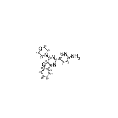 Nc1ccc(-c2nc(N3CCOCC3)c3oc4ccccc4c3n2)cn1